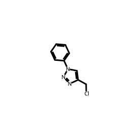 ClCc1cn(-c2ccccc2)nn1